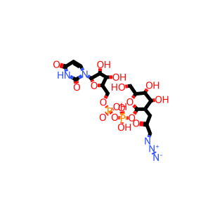 [N-]=[N+]=NCC(=O)CC1C(OP(=O)(O)OP(=O)(O)OCC2OC(n3ccc(=O)[nH]c3=O)C(O)C2O)OC(CO)C(O)C1O